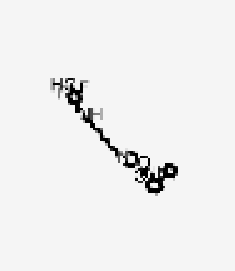 O=C(Nc1ccccc1-c1ccccc1)OC1CCN(CCCCCCCCCNCc2cc(F)c(O)c(F)c2)CC1